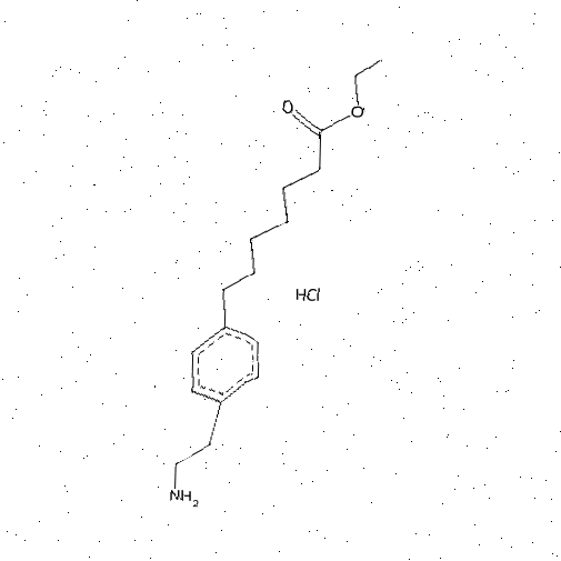 CCOC(=O)CCCCCCc1ccc(CCN)cc1.Cl